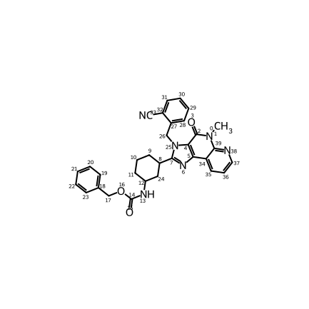 Cn1c(=O)c2c(nc(C3CCCC(NC(=O)OCc4ccccc4)C3)n2Cc2ccccc2C#N)c2cccnc21